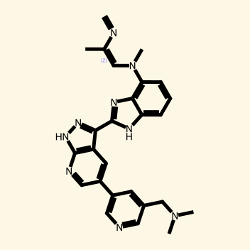 C=N/C(C)=C\N(C)c1cccc2[nH]c(-c3n[nH]c4ncc(-c5cncc(CN(C)C)c5)cc34)nc12